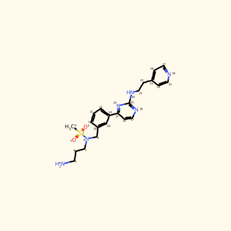 CS(=O)(=O)N(CCCN)Cc1cccc(-c2ccnc(NCCc3ccncc3)n2)c1